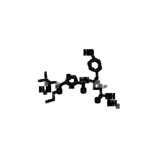 CCCO[C@H](C[C@@H](N)C(C)C)c1nc(C(=O)N[C@@H](Cc2ccc(O)cc2)C[C@H](C)C(=O)NN)cs1